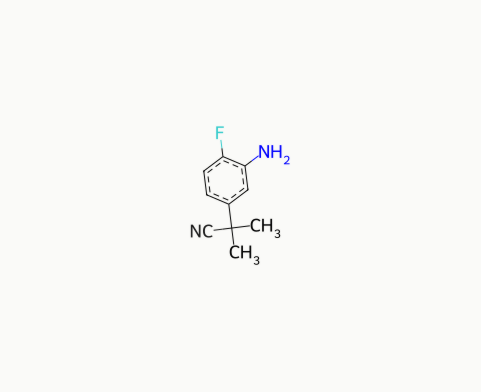 CC(C)(C#N)c1ccc(F)c(N)c1